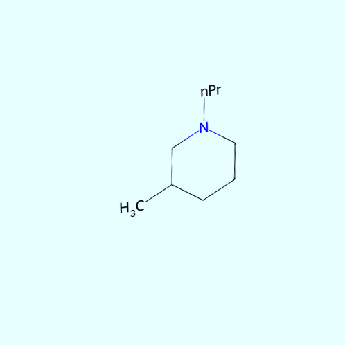 CCCN1CCCC(C)C1